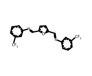 FC(F)(F)c1cccc(N=Cc2ccc(C=Nc3cccc(C(F)(F)F)c3)o2)c1